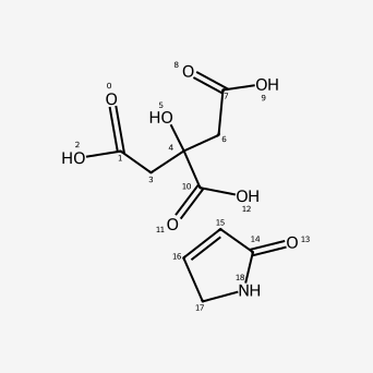 O=C(O)CC(O)(CC(=O)O)C(=O)O.O=C1C=CCN1